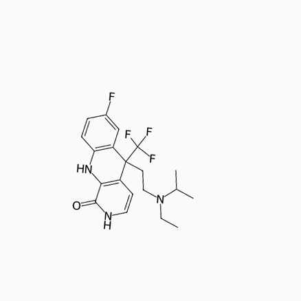 CCN(CCC1(C(F)(F)F)c2cc(F)ccc2Nc2c1cc[nH]c2=O)C(C)C